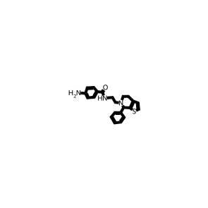 Nc1ccc(C(=O)NCCN2CCc3ccsc3C2c2ccccc2)cc1